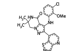 COc1c(Cl)cccc1Nc1c(-c2ccnc3cnsc23)nn2c1C(=O)NC(C)(C)C2